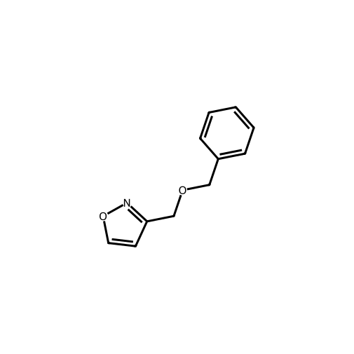 c1ccc(COCc2ccon2)cc1